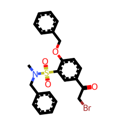 CN(Cc1ccccc1)S(=O)(=O)c1cc(C(=O)CBr)ccc1OCc1ccccc1